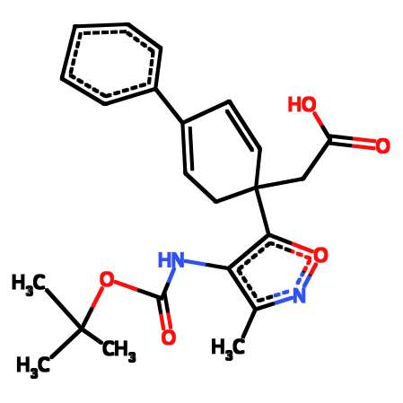 Cc1noc(C2(CC(=O)O)C=CC(c3ccccc3)=CC2)c1NC(=O)OC(C)(C)C